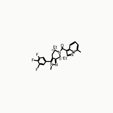 CC[C@H]1Cc2c(nn(C)c2-c2cc(F)c(F)c(F)c2)[C@@H](CC)N1C(=O)c1cnn2c(C)cccc12